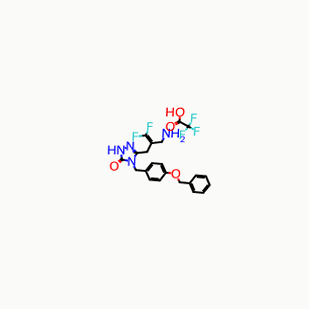 NCC(Cc1n[nH]c(=O)n1Cc1ccc(OCc2ccccc2)cc1)=C(F)F.O=C(O)C(F)(F)F